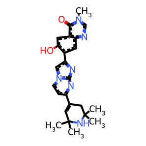 Cn1cnc2cc(-c3cn4ccc(C5=CC(C)(C)NC(C)(C)C5)nc4n3)c(O)cc2c1=O